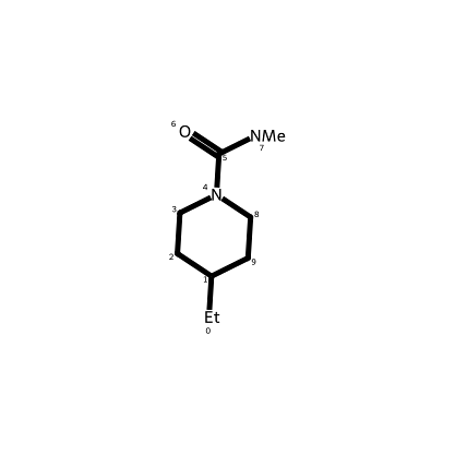 CCC1CCN(C(=O)NC)CC1